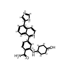 NC(=O)c1ccc(-c2nccc3c(-c4cncs4)cccc23)cc1NC1CCC(O)CC1